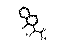 CC(C(=O)O)c1ccc2ccccc2c1F